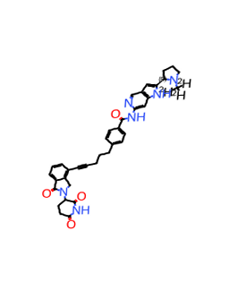 [2H]C([2H])([2H])N1CCC[C@@H]1c1cc2cnc(NC(=O)c3ccc(CCCC#Cc4cccc5c4CN(C4CCC(=O)NC4=O)C5=O)cc3)cc2[nH]1